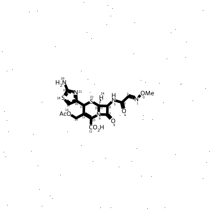 CON=CC(=O)NC1C(=O)N2C(C(=O)O)=C(COC(C)=O)C(c3csc(N)n3)S[C@@H]12